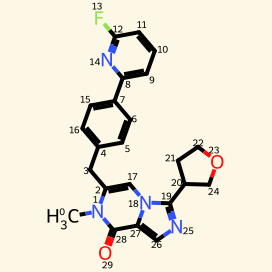 Cn1c(Cc2ccc(-c3cccc(F)n3)cc2)cn2c(C3CCOC3)ncc2c1=O